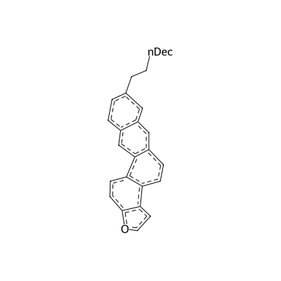 CCCCCCCCCCCCc1ccc2cc3c(ccc4c5ccoc5ccc34)cc2c1